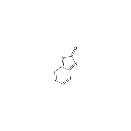 O=C1N=c2c[c]ccc2=N1